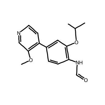 COc1cnccc1-c1ccc(NC=O)c(OC(C)C)c1